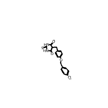 O=C1NC(=S)NC(=O)C1Cc1ccc(OCc2ccc(Cl)cc2)cc1